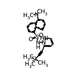 CN(C)c1cccc2c(S(=O)(=O)NN3NC=CC=C3C#C[Si](C)(C)C)cccc12